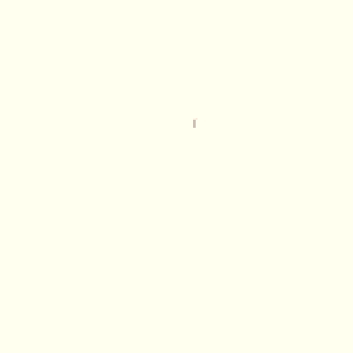 CC(C)Cc1cccc(OCC(F)(F)F)c1